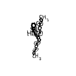 Cc1ccc(OC(=O)C2CCC(C(=O)Oc3ccc4cc(OC(=O)C5CCC(C(=O)Oc6ccc(C)cc6)CC5)c(/C=N/Nc5nc6ccccc6s5)cc4c3)CC2)cc1